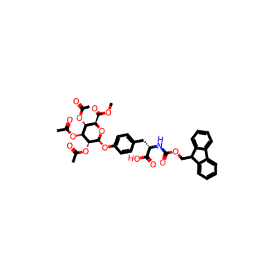 COC(=O)[C@H]1O[C@@H](Oc2ccc(C[C@H](NC(=O)OCC3c4ccccc4-c4ccccc43)C(=O)O)cc2)[C@H](OC(C)=O)[C@@H](OC(C)=O)[C@@H]1OC(C)=O